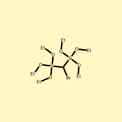 CCO[Si](OCC)(OCC)C(Br)[Si](OCC)(OCC)OCC